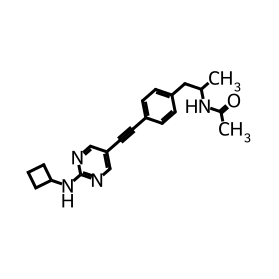 CC(=O)NC(C)Cc1ccc(C#Cc2cnc(NC3CCC3)nc2)cc1